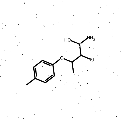 CCC(C(N)O)C(C)Oc1ccc(C)cc1